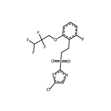 O=S(=O)(CCc1c(F)cccc1OCC(F)(F)C(F)F)c1ncc(Cl)s1